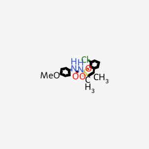 COc1ccc(NC(=O)NS(=O)(=O)C(C)=C(C)c2cccc(Cl)c2)cc1